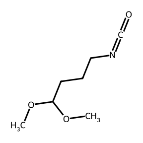 COC(CCCN=C=O)OC